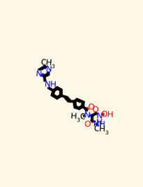 CNC(=O)C(C(=O)NO)N(C)C(=O)c1ccc(C#Cc2ccc(CNCc3cnc(C)cn3)cc2)cc1